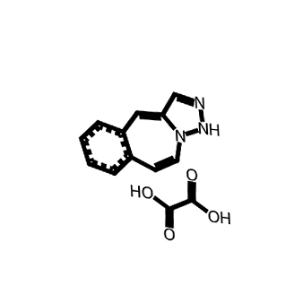 C1=CN2NN=CC2=Cc2ccccc21.O=C(O)C(=O)O